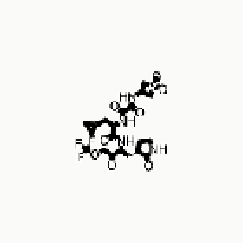 O=C(NC1CS(=O)(=O)C1)C(=O)NC(CC1CC1)C(=O)NC(C[C@@H]1CCNC1=O)C(=O)COC(F)(F)F